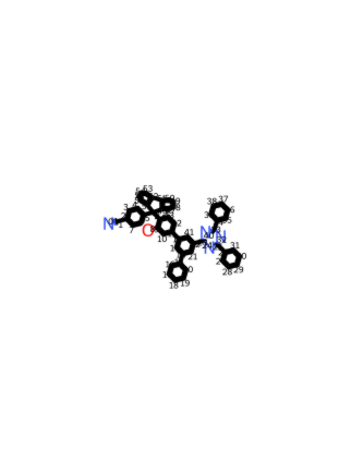 N#Cc1ccc2c(c1)Oc1cc(-c3cc(-c4ccccc4)cc(-c4nc(-c5ccccc5)nc(-c5ccccc5)n4)c3)ccc1C21c2ccccc2-c2ccccc21